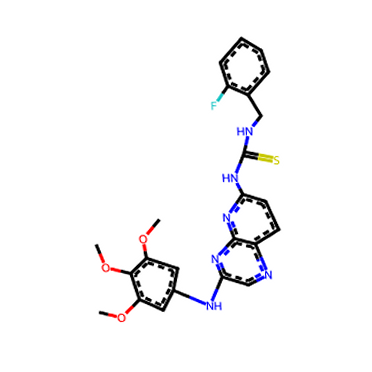 COc1cc(Nc2cnc3ccc(NC(=S)NCc4ccccc4F)nc3n2)cc(OC)c1OC